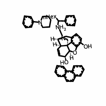 CCCCCCC(N)c1ccccc1.CN1CC[C@]23c4c5ccc(O)c4O[C@H]2[C@@H](O)C=C[C@H]3[C@H]1C5.c1ccc(N2CCCCC2)cc1.c1ccc2c(c1)ccc1ccccc12